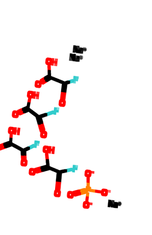 O=C(O)C(=O)F.O=C(O)C(=O)F.O=C(O)C(=O)F.O=C(O)C(=O)F.O=P([O-])([O-])[O-].[Na+].[Na+].[Na+]